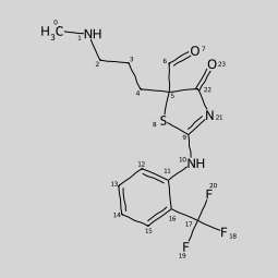 CNCCCC1(C=O)SC(Nc2ccccc2C(F)(F)F)=NC1=O